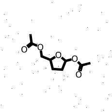 CC(=O)OCC1CCC(OC(C)=O)O1